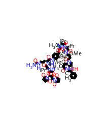 CC[C@H](C)[C@@H]([C@@H](CC(=O)N1CCC[C@H]1[C@H](OC)[C@@H](C)C(=O)N[C@H](C)[C@@H](O)c1ccccc1)OC)N(C)C(=O)[C@@H](NC(=O)[C@H](C(C)C)N(C)C(=O)OCc1ccc(NC(=O)[C@H](CCCNC(N)=O)NC(=O)[C@@H](NC(=O)COC(CN2C(=O)C=CC2=O)CN2C(=O)C=CC2=O)C(C)C)cc1)C(C)C